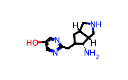 N[C@@H]1C(Cc2ncc(O)cn2)C[C@@H]2CNC[C@@H]21